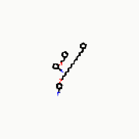 N#Cc1ccc(OCCCCCCCCCCCCCCCc2ccccc2)cc1.N#Cc1ccccc1OCCc1ccccc1